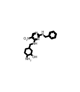 NC1CCC(CNc2nc(NCc3ccccc3)ncc2[N+](=O)[O-])CC1O